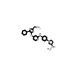 CCc1nc(-c2ccccc2)c(Oc2ccnc(Nc3ccc(N4CCC(NC)C4)cc3)c2)s1